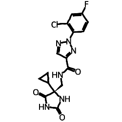 O=C1NC(=O)[C@](CNC(=O)c2cnn(-c3ccc(F)cc3Cl)n2)(C2CC2)N1